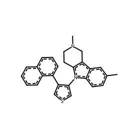 Cc1ccc2c(c1)c1c(n2-c2cscc2-c2cccc3ccccc23)CCN(C)C1